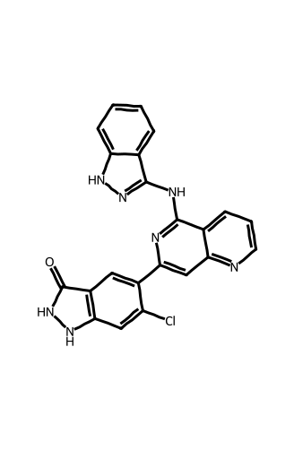 O=c1[nH][nH]c2cc(Cl)c(-c3cc4ncccc4c(Nc4n[nH]c5ccccc45)n3)cc12